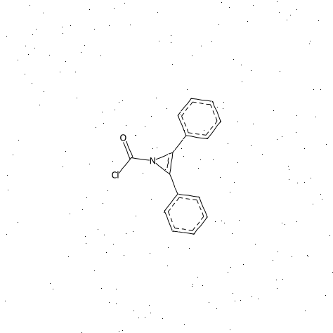 O=C(Cl)N1C(c2ccccc2)=C1c1ccccc1